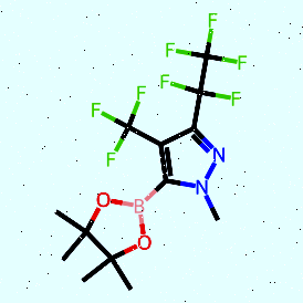 Cn1nc(C(F)(F)C(F)(F)F)c(C(F)(F)F)c1B1OC(C)(C)C(C)(C)O1